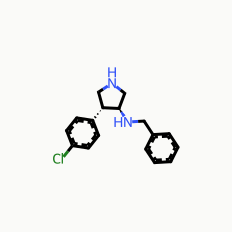 Clc1ccc([C@@H]2CNC[C@H]2NCc2ccccc2)cc1